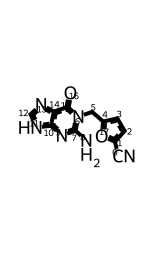 N#Cc1ccc(Cn2c(N)nc3[nH]cnc3c2=O)o1